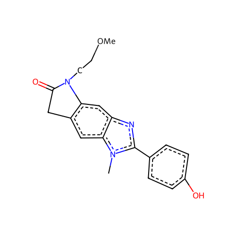 COCCN1C(=O)Cc2cc3c(cc21)nc(-c1ccc(O)cc1)n3C